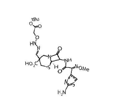 CON=C(C(=O)NC1C(=O)N2CC(C=NNOCC(=O)OC(C)(C)C)(C(=O)O)CS[C@H]12)c1csc(N)n1